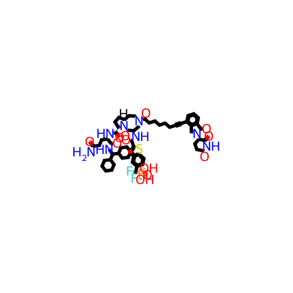 NC(=O)CCC(NC(=O)[C@@H]1CC[C@@H]2CCN(C(=O)CCCCCC#Cc3cccc4c3CN(C3CCC(=O)NC3=O)C4=O)C[C@H](NC(=O)c3cc4cc(C(F)(F)P(=O)(O)O)ccc4s3)C(=O)N21)C(=O)NC(C1CCCCC1)C1CCCCC1